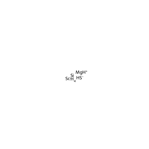 [MgH+].[SH-].[Sc].[SiH4]